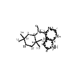 CN(c1ncnc2[nH]ccc12)C1CC(C)(C)CCC1(C)C